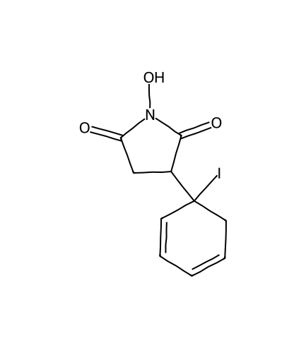 O=C1CC(C2(I)C=CC=CC2)C(=O)N1O